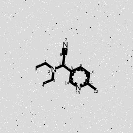 CCN(CC)C(C#N)c1ccc(C)nc1